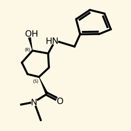 CN(C)C(=O)[C@H]1CC[C@@H](O)C(NCc2ccccc2)C1